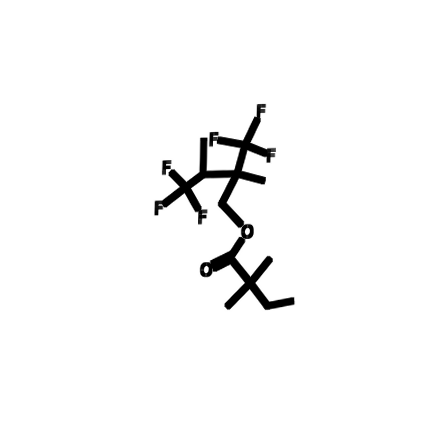 CCC(C)(C)C(=O)OCC(C)(C(C)C(F)(F)F)C(F)(F)F